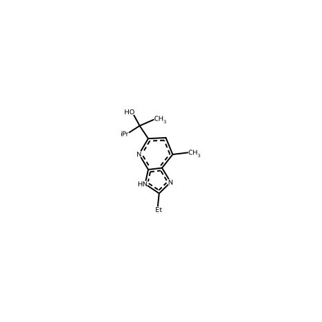 CCc1nc2c(C)cc(C(C)(O)C(C)C)nc2[nH]1